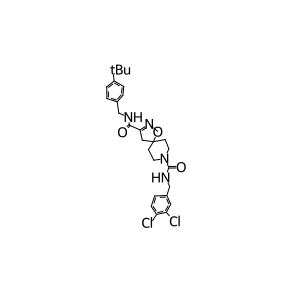 CC(C)(C)c1ccc(CNC(=O)C2=NOC3(CCN(C(=O)NCc4ccc(Cl)c(Cl)c4)CC3)C2)cc1